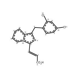 O=C(O)C=Cc1nc(Cc2ccc(Cl)cc2Cl)c2ccccn12